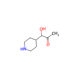 CC(=O)C(O)C1CCNCC1